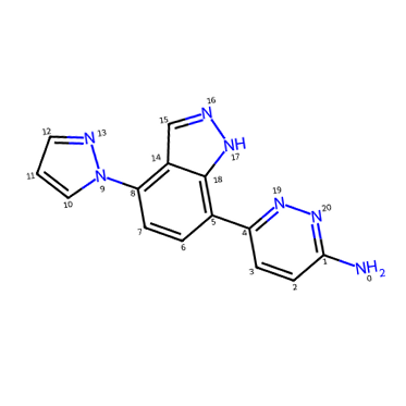 Nc1ccc(-c2ccc(-n3cccn3)c3cn[nH]c23)nn1